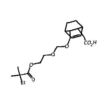 CCC(C)(C)C(=O)OCCOCOC1C2C=CC(CC2)C1C(=O)O